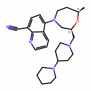 C[C@@H]1CCN(c2ccc(C#N)c3ncccc23)C[C@H](CN2CCC(N3CCCCC3)CC2)O1